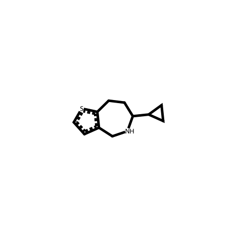 c1cc2c(s1)CCC(C1CC1)NC2